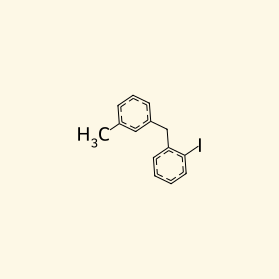 Cc1cccc(Cc2ccccc2I)c1